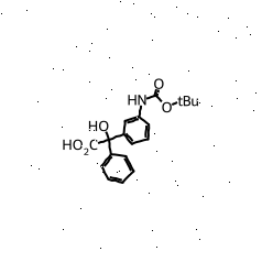 CC(C)(C)OC(=O)Nc1cccc(C(O)(C(=O)O)c2ccccc2)c1